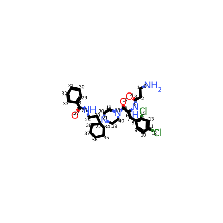 NCCC(=O)NC(Cc1ccc(Cl)cc1Cl)C(=O)N1CCN(C2(CCNC(=O)c3ccccc3)CCCCC2)CC1